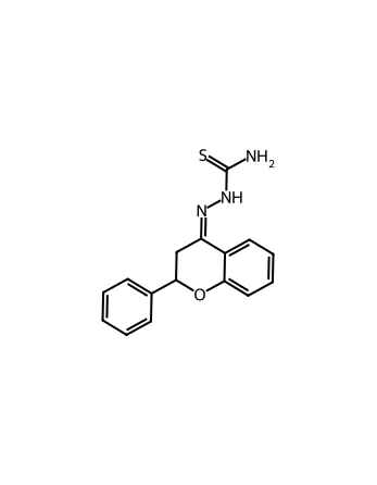 NC(=S)N/N=C1/CC(c2ccccc2)Oc2ccccc21